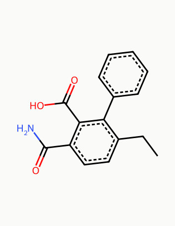 CCc1ccc(C(N)=O)c(C(=O)O)c1-c1ccccc1